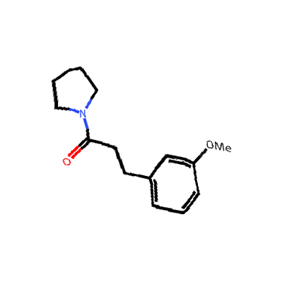 COc1cccc(CCC(=O)N2CCCC2)c1